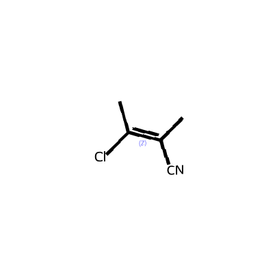 C/C(Cl)=C(\C)C#N